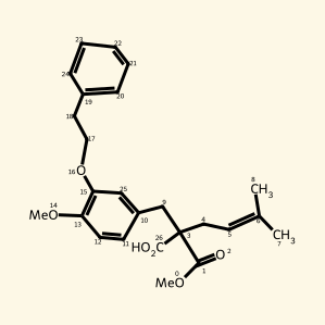 COC(=O)C(CC=C(C)C)(Cc1ccc(OC)c(OCCc2ccccc2)c1)C(=O)O